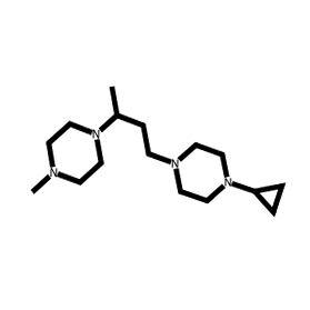 CC(CCN1CCN(C2CC2)CC1)N1CCN(C)CC1